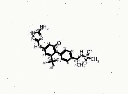 C[C@@H](NS(C)(=O)=O)c1ccc(-c2c(Cl)cc(Nc3n[nH]c(N)n3)cc2C(F)(F)F)cc1